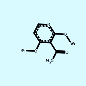 CC(C)Oc1ccnc(OC(C)C)c1C(N)=O